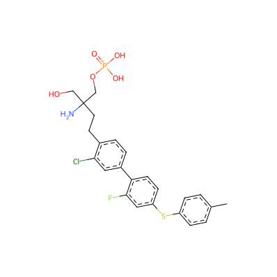 Cc1ccc(Sc2ccc(-c3ccc(CCC(N)(CO)COP(=O)(O)O)c(Cl)c3)c(F)c2)cc1